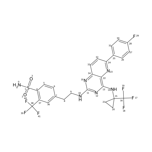 NS(=O)(=O)c1ccc(CCNc2nc(NC3(C(F)(F)F)CC3)c3nc(-c4ccc(F)cc4)ccc3n2)cc1C(F)(F)F